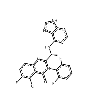 C[C@H](Nc1ncnc2[nH]cnc12)c1nc2ccc(F)c(Cl)c2c(=O)n1-c1c(F)cccc1F